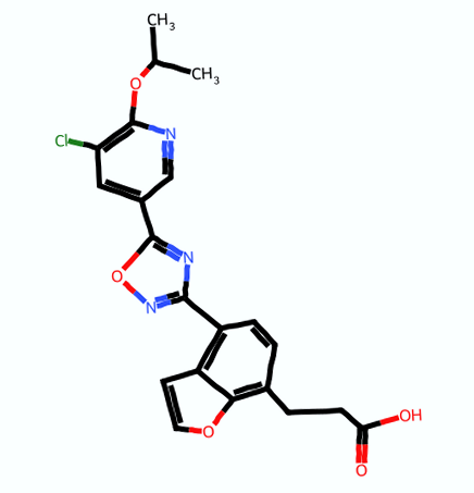 CC(C)Oc1ncc(-c2nc(-c3ccc(CCC(=O)O)c4occc34)no2)cc1Cl